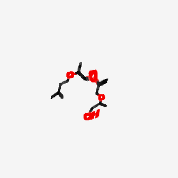 CC(C)CCOC(C)COC(C)COC(C)CO